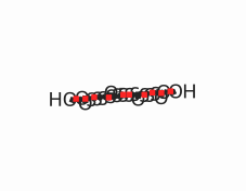 O=C(CSCSCSCC[S+]([O-])CSCSCSCSC(=O)CSCSCSCC(=O)OCCCO)OCCCO